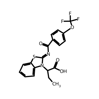 CCC(C(=O)O)n1c(=NC(=O)c2ccc(OC(F)(F)F)cc2)sc2ccccc21